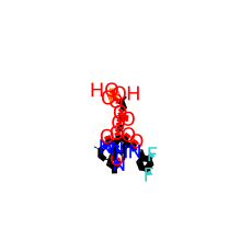 CC1=NO[C@@]2(CC[C@H](C)N3C[C@H]2n2cc(C(=O)NCc4ccc(F)cc4F)c(=O)c(OCOC(=O)OC[C@H](C)OP(=O)(O)O)c2C3=O)C1